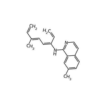 C=C/C(C)=C/C=C(\C=C)Nc1nccc2ccc(C)cc12